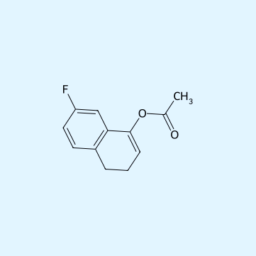 CC(=O)OC1=CCCc2ccc(F)cc21